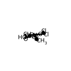 CCOC(Cc1ccc(OCCN(CCCCOCc2cc(Cl)cc(Cl)c2)C(=O)Oc2cccc(C)c2)cc1)C(=O)O